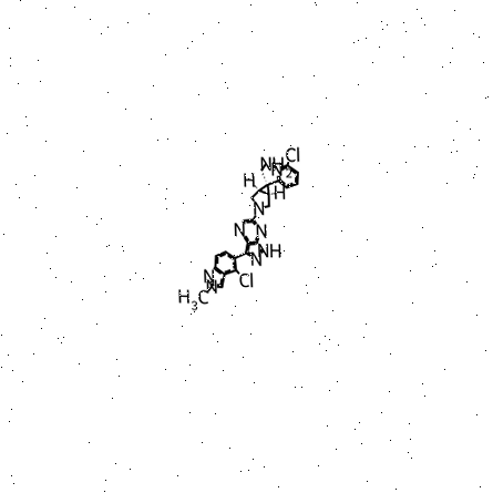 Cn1cc2c(Cl)c(-c3n[nH]c4nc(N5C[C@@H]6[C@H](C5)[C@]6(CN)c5cccc(Cl)n5)cnc34)ccc2n1